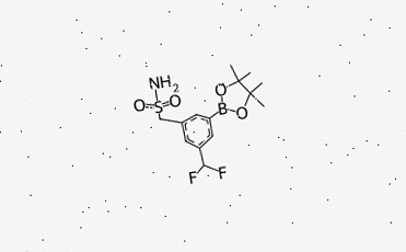 CC1(C)OB(c2cc(CS(N)(=O)=O)cc(C(F)F)c2)OC1(C)C